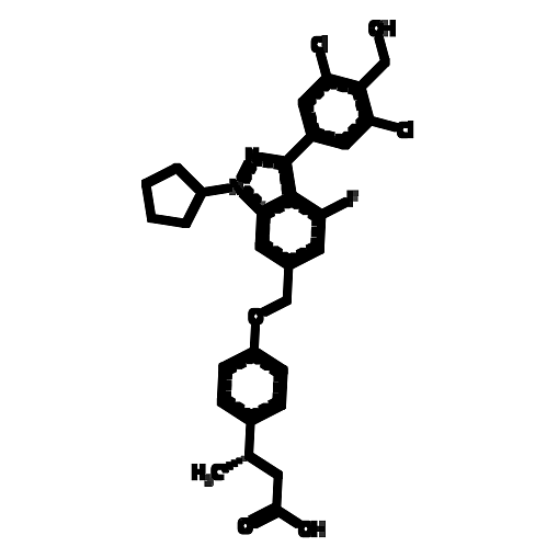 C[C@@H](CC(=O)O)c1ccc(OCc2cc(F)c3c(-c4cc(Cl)c(CO)c(Cl)c4)nn(C4CCCC4)c3c2)cc1